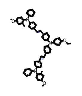 CCOc1ccc(N(c2ccc(/C=C/c3ccc(N(c4ccccc4)c4ccc(OC)cc4C)cc3)cc2)c2ccc(/C=C/c3ccc(N(c4ccccc4)c4ccc(OC)cc4C)cc3)cc2)cc1